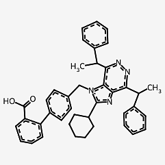 CC(c1ccccc1)c1nnc(C(C)c2ccccc2)c2c1nc(C1CCCCC1)n2Cc1ccc(-c2ccccc2C(=O)O)cc1